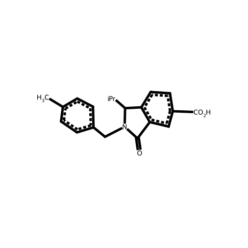 Cc1ccc(CN2C(=O)c3cc(C(=O)O)ccc3C2C(C)C)cc1